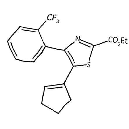 CCOC(=O)c1nc(-c2ccccc2C(F)(F)F)c(C2=CCCC2)s1